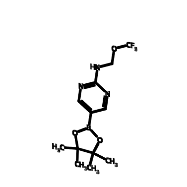 CC1(C)OB(c2cnc(NCOC(F)(F)F)nc2)OC1(C)C